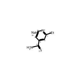 CCc1cc(C(N)=S)ccn1.[NaH]